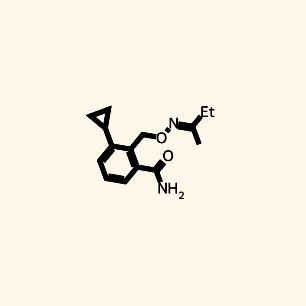 CCC(C)=NOCc1c(C(N)=O)cccc1C1CC1